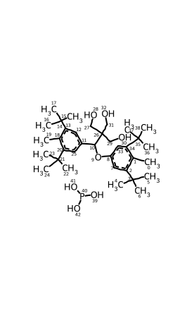 Cc1c(C(C)(C)C)cc(OC(c2cc(C(C)(C)C)c(C)c(C(C)(C)C)c2)C(CO)(CO)CO)cc1C(C)(C)C.OP(O)O